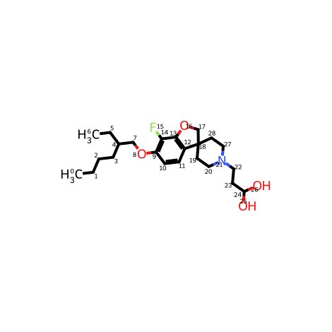 CCCCC(CC)COc1ccc2c(c1F)OCC21CCN(CCC(O)O)CC1